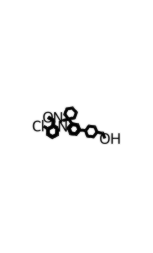 O=c1nc2n(c3cccc(Cl)c13)-c1ccc(C3CCC(CO)CC3)cc1C21CCCCC1